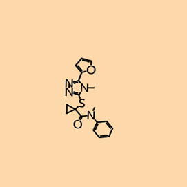 CN(C(=O)C1(Sc2nnc(-c3ccco3)n2C)CC1)c1ccccc1